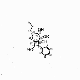 CCS[C@H]1O[C@@H]2C(O)C(c3ccccc3)[C@]2(O)[C@H](O)[C@H]1O